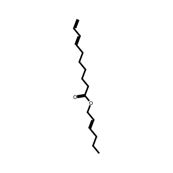 C=C/C=C/CCCCCC(=O)OC/C=C/CCC